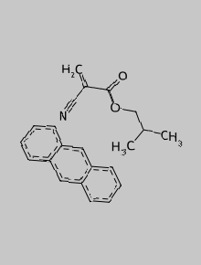 C=C(C#N)C(=O)OCC(C)C.c1ccc2cc3ccccc3cc2c1